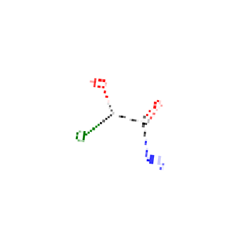 NC(=O)C(O)Cl